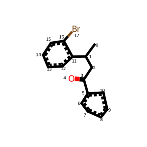 CC(CC(=O)c1ccccc1)c1ccccc1Br